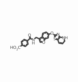 O=C(O)c1ccc(C(=O)NCc2coc3cc(Oc4nc5c(s4)C=CCN5)ccc23)cc1